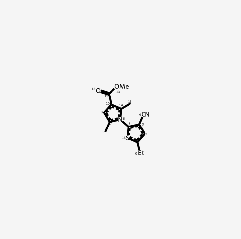 CCc1cc(C#N)c(-n2c(C)cc(C(=O)OC)c2C)s1